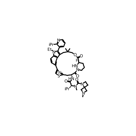 CCn1c(-c2cccnc2C(C)C)c2c3cc(ccc31)-c1csc(n1)C[C@H](NC(=O)[C@H](C(C)C)N(C)C(=O)N1CCC13CN(C)C3)C(=O)N1CCC[C@H](N1)C(=O)OCC(C)(C)C2